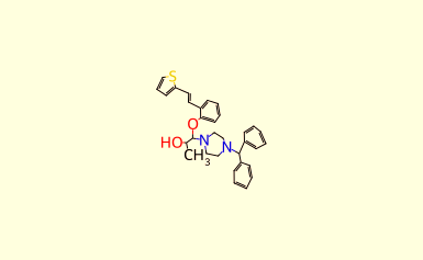 CC(O)C(Oc1ccccc1C=Cc1cccs1)N1CCN(C(c2ccccc2)c2ccccc2)CC1